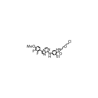 CCc1cc(Nc2nccn3c(-c4ccc(OC)c(F)c4F)cnc23)ccc1C(=O)NCCOCCCl